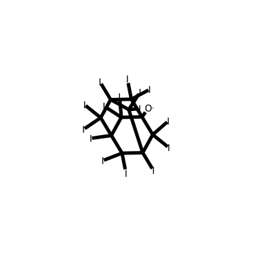 [O]C12C(I)(I)C3(I)C(I)(I)C(I)(C1(I)I)C(I)(I)C(I)(C2(I)I)C3(I)I